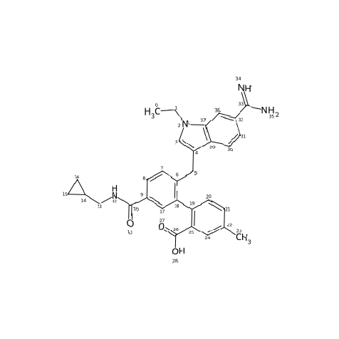 CCn1cc(Cc2ccc(C(=O)NCC3CC3)cc2-c2ccc(C)cc2C(=O)O)c2ccc(C(=N)N)cc21